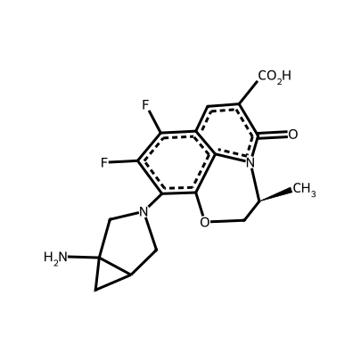 C[C@H]1COc2c(N3CC4CC4(N)C3)c(F)c(F)c3cc(C(=O)O)c(=O)n1c23